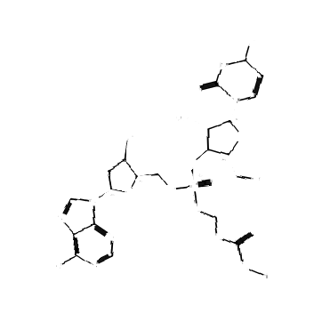 CO[C@H]1C(O[P@](=O)(OC[C@H]2O[C@@H](n3cnc4c(N)ncnc43)CC2O)SCOC(=O)OC(C)C)[C@@H](CO)O[C@H]1N1C=CC(O)NC1=O